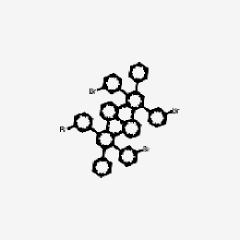 Brc1cccc(-c2cc(-c3ccccc3)c(-c3cccc(Br)c3)c3c4cccc5c6c(-c7cccc(Br)c7)cc(-c7ccccc7)c(-c7cccc(Br)c7)c6c6cccc(c23)c6c54)c1